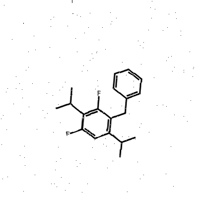 CC(C)c1[c]c(F)c(C(C)C)c(F)c1Cc1ccccc1